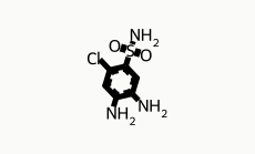 Nc1cc(Cl)c(S(N)(=O)=O)cc1N